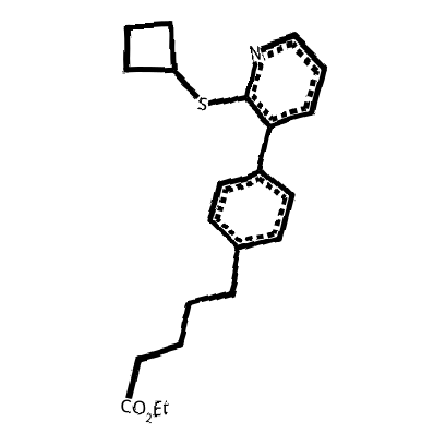 CCOC(=O)CCCCc1ccc(-c2cccnc2SC2CCC2)cc1